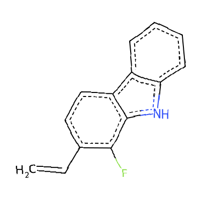 C=Cc1ccc2c([nH]c3ccccc32)c1F